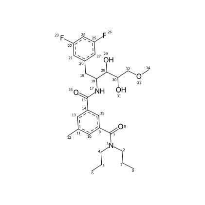 CCCN(CCC)C(=O)c1cc(C)cc(C(=O)NC(Cc2cc(F)cc(F)c2)C(O)C(O)COC)c1